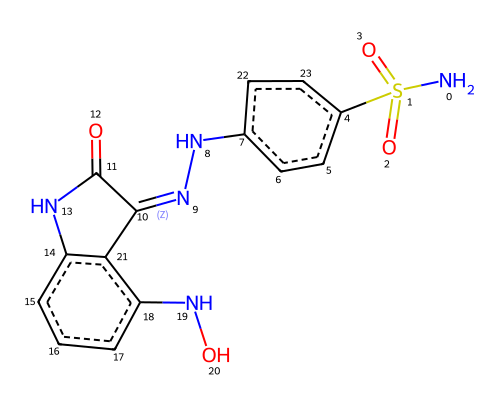 NS(=O)(=O)c1ccc(N/N=C2\C(=O)Nc3cccc(NO)c32)cc1